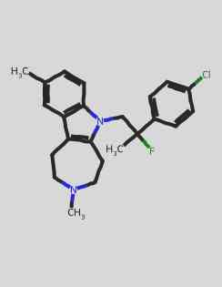 Cc1ccc2c(c1)c1c(n2CC(C)(F)c2ccc(Cl)cc2)CCN(C)CC1